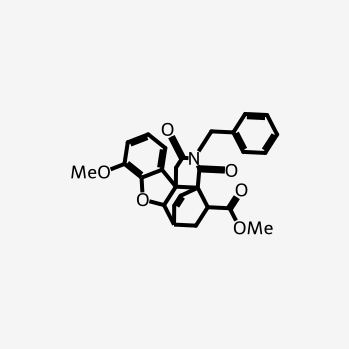 COC(=O)C1CC2C=CC13C(=O)N(Cc1ccccc1)C(=O)CC31c3cccc(OC)c3OC21